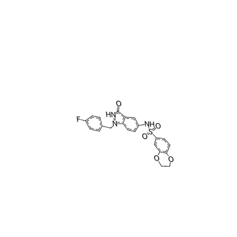 O=c1[nH]n(Cc2ccc(F)cc2)c2ccc(NS(=O)(=O)c3ccc4c(c3)OCCO4)cc12